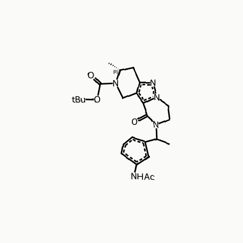 CC(=O)Nc1cccc(C(C)N2CCn3nc4c(c3C2=O)CN(C(=O)OC(C)(C)C)[C@H](C)C4)c1